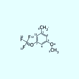 [CH2]c1cc(OC)cc(OC(F)(F)F)c1